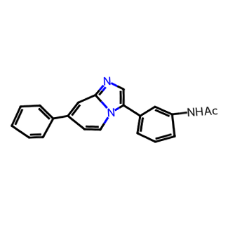 CC(=O)Nc1cccc(-c2cnc3cc(-c4ccccc4)ccn23)c1